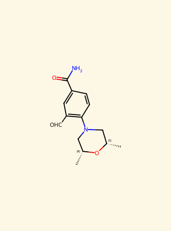 C[C@@H]1CN(c2ccc(C(N)=O)cc2C=O)C[C@H](C)O1